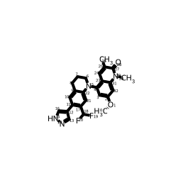 COc1cc(N2CCCc3cc(-c4cn[nH]c4)c(C(F)F)cc32)c2cc(C)c(=O)n(C)c2c1